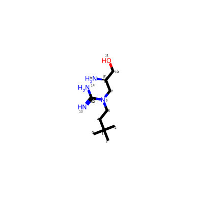 CC(C)(C)CCN(C[C@@H](N)CO)C(=N)N